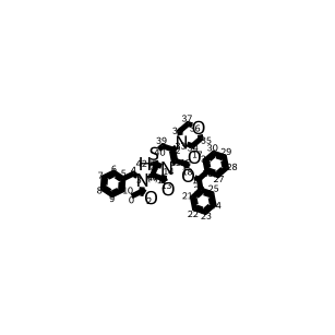 CC(=O)N(Cc1ccccc1)[C@@H]1C(=O)N2C(C(=O)OC(c3ccccc3)c3ccccc3)=C(N3CCOCC3)CS[C@@H]12